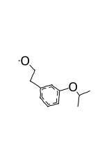 CC(C)Oc1cccc(CC[O])c1